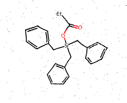 C[CH]C(=O)O[Si](Cc1ccccc1)(Cc1ccccc1)Cc1ccccc1